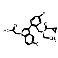 CCN(Cc1cc(F)ccc1-c1cn(CC(=O)O)c2ccc(Cl)cc12)C(=O)C1CC1